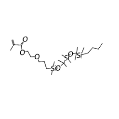 C=C(C)C(=O)OCCOCCC[Si](C)(C)OC(C)(C)[Si](C)(C)OC(C)(C)[Si](C)(C)CCCC